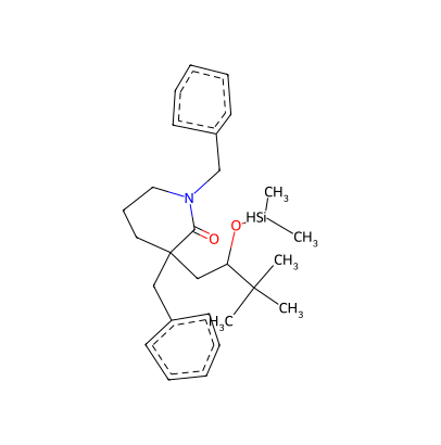 C[SiH](C)OC(CC1(Cc2ccccc2)CCCN(Cc2ccccc2)C1=O)C(C)(C)C